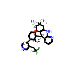 CC1(C)CC2=C(C(=O)[C@@H]1F)[C@](C)(c1cccc(-c3ccncc3CC(F)(F)F)c1)c1cccnc1N2